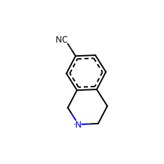 N#Cc1ccc2c(c1)C[N]CC2